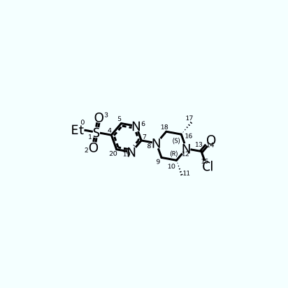 CCS(=O)(=O)c1cnc(N2C[C@@H](C)N(C(=O)Cl)[C@@H](C)C2)nc1